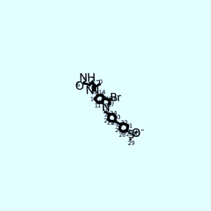 Cc1cc(C(N)=O)nn1-c1ccc2c(c1)c(Br)cn2Cc1ccc(-c2ccc([S+](C)[O-])cc2)cc1